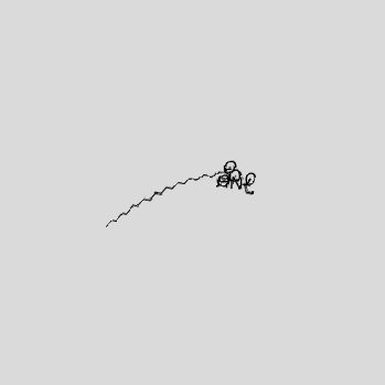 C=CC(=O)NOS(=O)(=O)CCCCCCCCCCCCCCCCCCCC